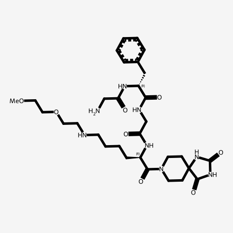 COCCOCCNCCCC[C@@H](NC(=O)CNC(=O)[C@@H](Cc1ccccc1)NC(=O)CN)C(=O)N1CCC2(CC1)NC(=O)NC2=O